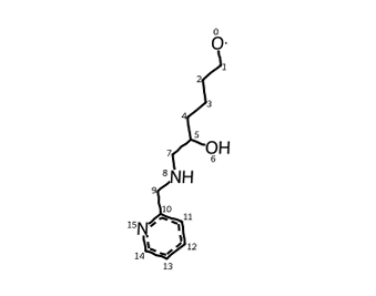 [O]CCCCC(O)CNCc1ccccn1